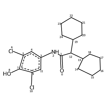 O=C(Nc1cc(Cl)c(O)c(Cl)c1)C(C1CCCCC1)C1CCCCC1